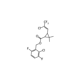 CC1(C)C(C=C(Cl)C(F)(F)F)C1C(=O)OCc1c(F)ccc(F)c1Cl